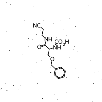 N#CCCNC(=O)[C@H](COCc1ccccc1)NC(=O)O